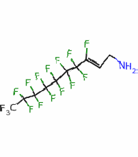 NC/C=C(\F)C(F)(F)C(F)(F)C(F)(F)C(F)(F)C(F)(F)C(F)(F)C(F)(F)F